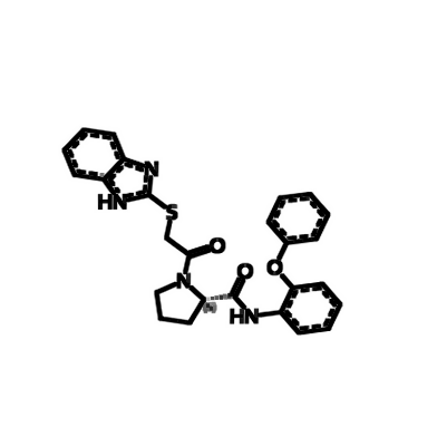 O=C(Nc1ccccc1Oc1ccccc1)[C@@H]1CCCN1C(=O)CSc1nc2ccccc2[nH]1